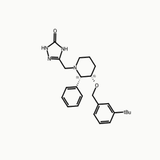 CC(C)(C)c1cccc(CO[C@H]2CCCN(Cc3n[nH]c(=O)[nH]3)[C@H]2c2ccccc2)c1